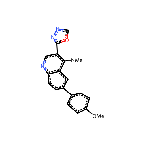 CNc1c(-c2nnco2)cnc2ccc(-c3ccc(OC)cc3)cc12